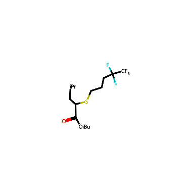 CC(C)COC(=O)C(CC(C)C)SCCCC(F)(F)C(F)(F)F